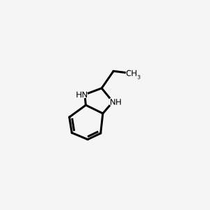 CCC1NC2C=CC=CC2N1